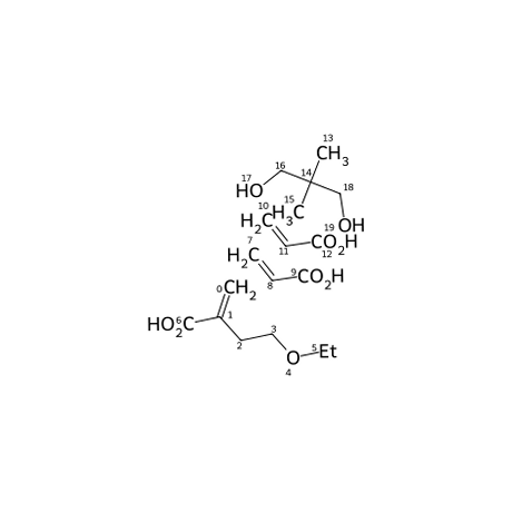 C=C(CCOCC)C(=O)O.C=CC(=O)O.C=CC(=O)O.CC(C)(CO)CO